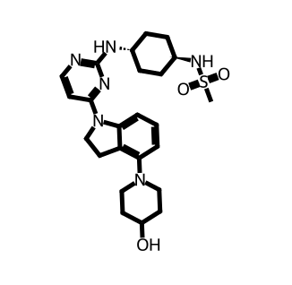 CS(=O)(=O)N[C@H]1CC[C@H](Nc2nccc(N3CCc4c(N5CCC(O)CC5)cccc43)n2)CC1